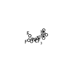 O=C(NC1CCN(CCCCC2(C(=O)NCC(F)(F)F)c3ccc(F)cc3-c3cc(F)ccc32)CC1)c1ccccc1Oc1ccccc1